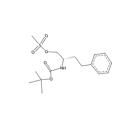 CC(C)(C)OC(=O)N[C@@H](CCc1ccccc1)COS(C)(=O)=O